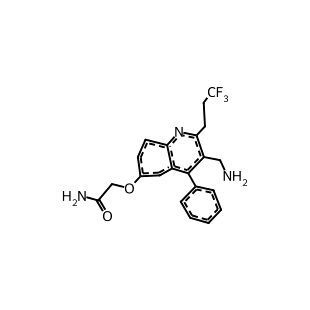 NCc1c(CCC(F)(F)F)nc2ccc(OCC(N)=O)cc2c1-c1ccccc1